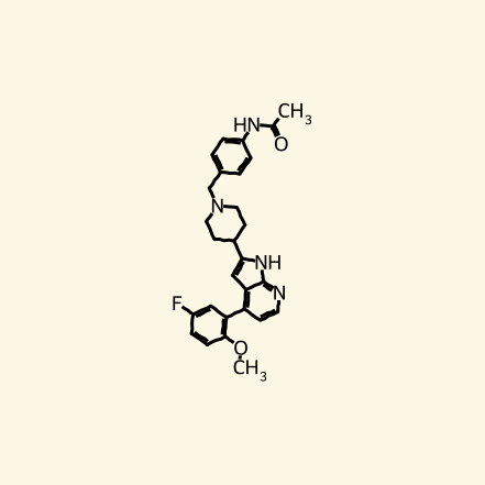 COc1ccc(F)cc1-c1ccnc2[nH]c(C3CCN(Cc4ccc(NC(C)=O)cc4)CC3)cc12